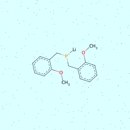 [Li][P](Cc1ccccc1OC)Cc1ccccc1OC